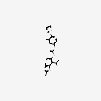 Cc1nc2c(C(C)O)c(NC(=O)Nc3cnc(-n4nccn4)c(C(F)(F)F)c3)cnc2s1